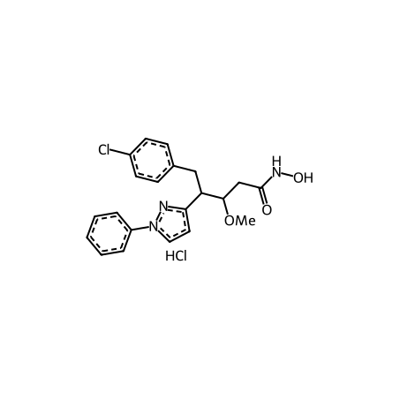 COC(CC(=O)NO)C(Cc1ccc(Cl)cc1)c1ccn(-c2ccccc2)n1.Cl